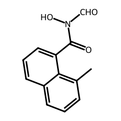 Cc1cccc2cccc(C(=O)N(O)C=O)c12